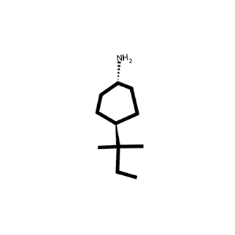 CCC(C)(C)[C@H]1CC[C@H](N)CC1